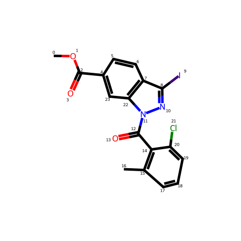 COC(=O)c1ccc2c(I)nn(C(=O)c3c(C)cccc3Cl)c2c1